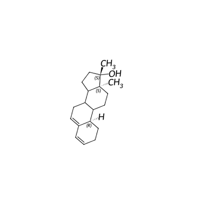 C[C@]1(O)CCC2C3CC=C4C=CCC[C@@H]4C3CC[C@@]21C